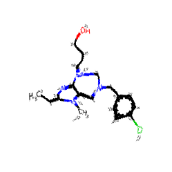 CCC1N=C2C(=CN(Cc3ccc(Cl)cc3)CN2CCCO)N1C